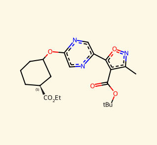 CCOC(=O)[C@H]1CCCC(Oc2cnc(-c3onc(C)c3C(=O)OC(C)(C)C)cn2)C1